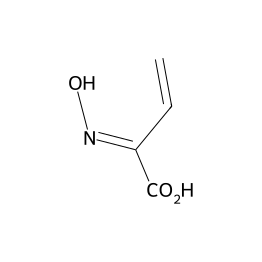 C=CC(=NO)C(=O)O